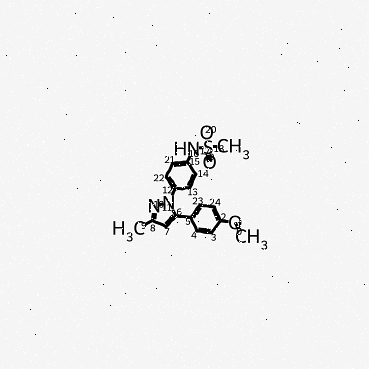 COc1ccc(-c2cc(C)nn2-c2ccc(NS(C)(=O)=O)cc2)cc1